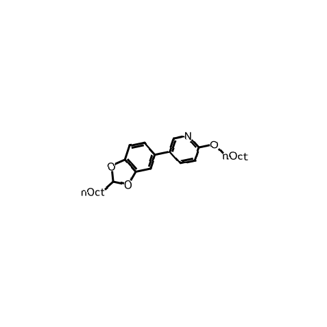 CCCCCCCCOc1ccc(-c2ccc3c(c2)OC(CCCCCCCC)O3)cn1